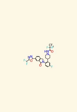 O=C1c2cc(-c3nnc(C(F)F)o3)ccc2CN1c1ccc(F)cc1C1CCN(NC(=O)C(F)(F)C(F)(F)F)CC1